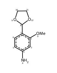 COc1cc(N)ccc1C1OCCO1